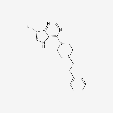 N#Cc1c[nH]c2c(N3CCN(CCc4ccccc4)CC3)ncnc12